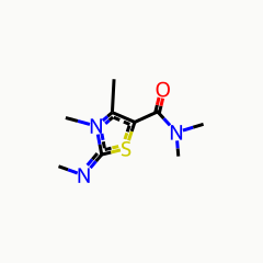 CN=c1sc(C(=O)N(C)C)c(C)n1C